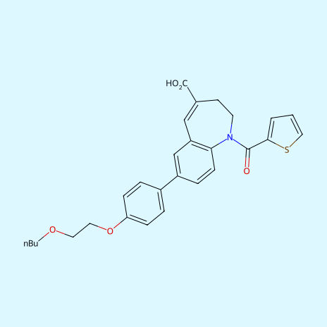 CCCCOCCOc1ccc(-c2ccc3c(c2)C=C(C(=O)O)CCN3C(=O)c2cccs2)cc1